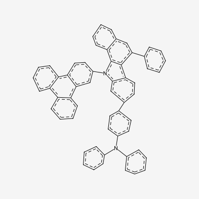 c1ccc(-c2cc3ccccc3c3c2c2ccc(-c4ccc(N(c5ccccc5)c5ccccc5)cc4)cc2n3-c2ccc3c4ccccc4c4ccccc4c3c2)cc1